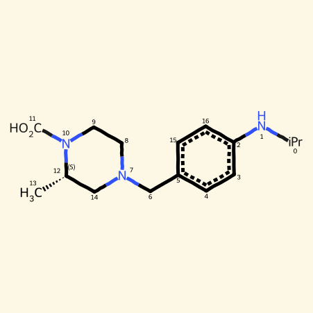 CC(C)Nc1ccc(CN2CCN(C(=O)O)[C@@H](C)C2)cc1